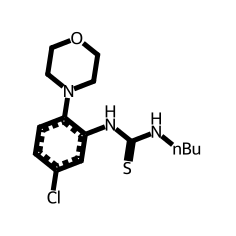 CCCCNC(=S)Nc1cc(Cl)ccc1N1CCOCC1